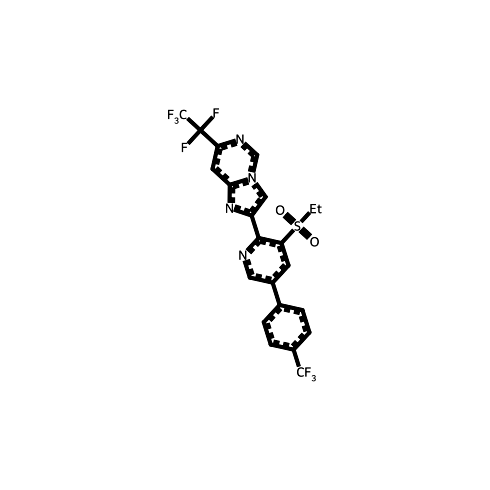 CCS(=O)(=O)c1cc(-c2ccc(C(F)(F)F)cc2)cnc1-c1cn2cnc(C(F)(F)C(F)(F)F)cc2n1